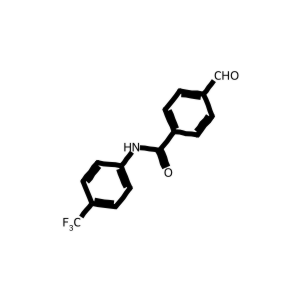 O=Cc1ccc(C(=O)Nc2ccc(C(F)(F)F)cc2)cc1